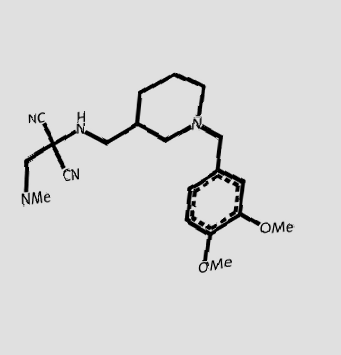 CNCC(C#N)(C#N)NCC1CCCN(Cc2ccc(OC)c(OC)c2)C1